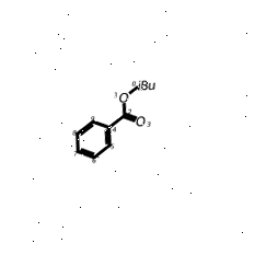 CCC(C)OC(=O)c1c[c]ccc1